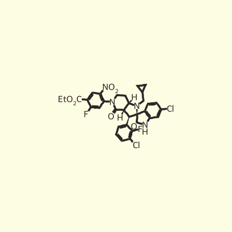 CCOC(=O)c1cc([N+](=O)[O-])c(N2CC[C@H]3[C@@H](C2=O)[C@H](c2cccc(Cl)c2F)[C@]2(C(=O)Nc4cc(Cl)ccc42)N3CC2CC2)cc1F